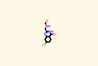 O=CNCc1nc2cc(Cl)ccc2c(=O)[nH]1